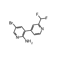 Nc1ncc(Br)cc1-c1ccnc(C(F)F)c1